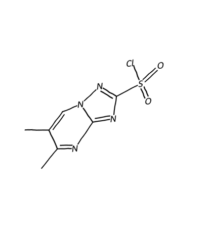 Cc1cn2nc(S(=O)(=O)Cl)nc2nc1C